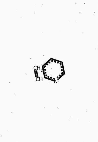 [CH]=C.c1ccncc1